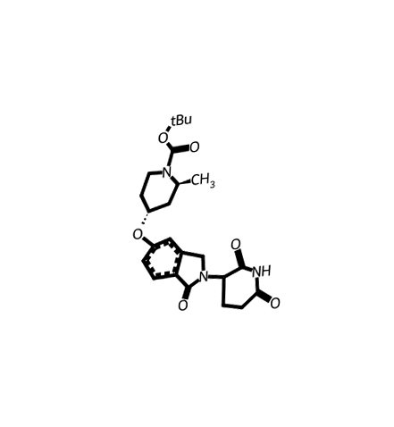 C[C@H]1C[C@H](Oc2ccc3c(c2)CN(C2CCC(=O)NC2=O)C3=O)CCN1C(=O)OC(C)(C)C